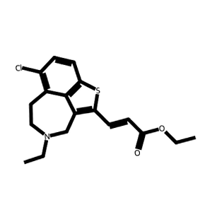 CCOC(=O)C=Cc1sc2ccc(Cl)c3c2c1CN(CC)CC3